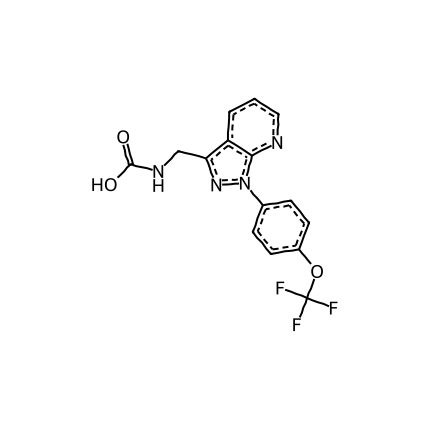 O=C(O)NCc1nn(-c2ccc(OC(F)(F)F)cc2)c2ncccc12